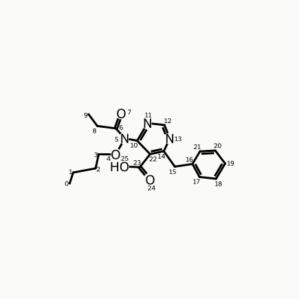 CCCCON(C(=O)CC)c1ncnc(Cc2ccccc2)c1C(=O)O